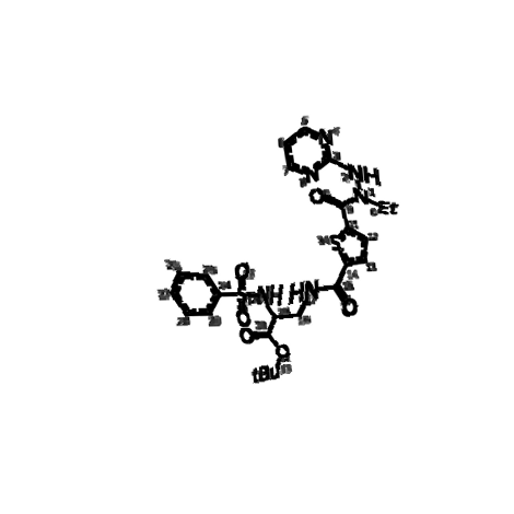 CCN(Nc1ncccn1)C(=O)c1ccc(C(=O)NCC(NS(=O)(=O)c2ccccc2)C(=O)OC(C)(C)C)s1